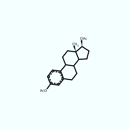 CC(=O)Oc1ccc2c(c1)CCC1C2CC[C@@]2(C)C1CC[C@@H]2OC(C)=O